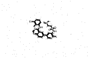 CCc1cccc(Nc2ncnc3ccc(-c4cnc(C)c(NS(=O)(=O)CCN(C)C)c4)cc23)c1C